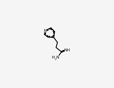 N=C(N)CCc1ccncc1